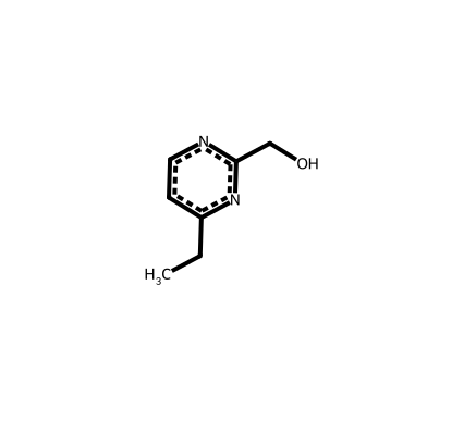 CCc1ccnc(CO)n1